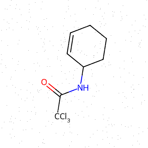 O=C(NC1C=CCCC1)C(Cl)(Cl)Cl